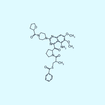 COc1cc2nc(N3CCN(C(=O)C4CCCO4)CC3)nc(C(=O)C3CCCN3C(=O)C(C)CSC(=O)c3ccccc3)c2c(N)c1OC